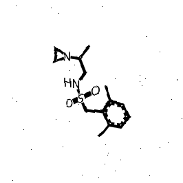 Cc1cccc(C)c1CS(=O)(=O)NCC(C)N1CC1